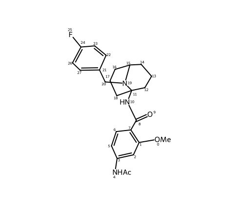 COc1cc(NC(C)=O)ccc1C(=O)NC12CCCC(CCC1)N2Cc1ccc(F)cc1